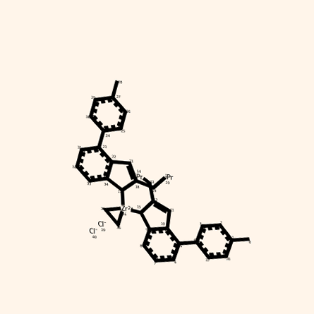 Cc1ccc(-c2cccc3c2C=C(CC(C)C)[CH]3[Zr+2]2([CH]3C(CC(C)C)=Cc4c(-c5ccc(C)cc5)cccc43)[CH2][CH2]2)cc1.[Cl-].[Cl-]